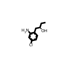 CC[C@@H](O)Cc1ccc(Cl)cc1N